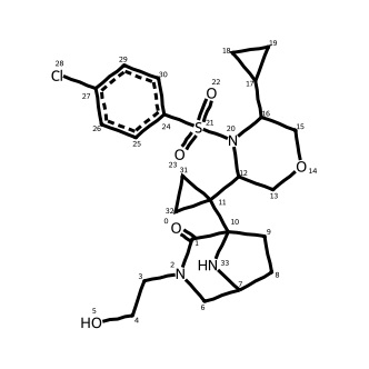 O=C1N(CCO)CC2CCC1(C1(C3COCC(C4CC4)N3S(=O)(=O)c3ccc(Cl)cc3)CC1)N2